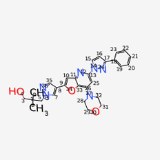 CC(C)(CO)Cn1cc(-c2cc3nc(-n4ccc(-c5ccccc5)n4)cc(N4CCOCC4)c3o2)cn1